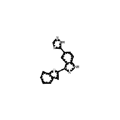 c1ccc2oc(-c3n[nH]c4ccc(-c5ncn[nH]5)cc34)cc2c1